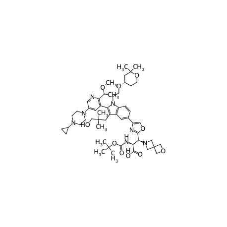 CO[C@@H](C)c1ncc(N2CCN(C3CC3)CC2)cc1-c1c(CC(C)(C)CO)c2cc(-c3coc([C@H]([C@H](NC(=O)OC(C)(C)C)C(=O)O)N4CC5(COC5)C4)n3)ccc2n1CCO[C@H]1CCOC(C)(C)C1